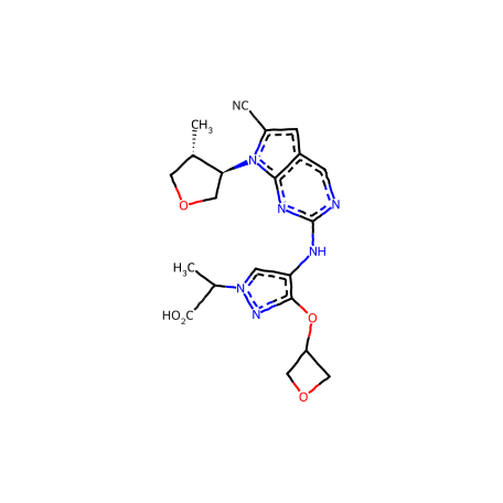 CC(C(=O)O)n1cc(Nc2ncc3cc(C#N)n([C@H]4COC[C@@H]4C)c3n2)c(OC2COC2)n1